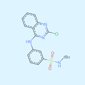 CC(C)(C)NS(=O)(=O)c1cccc(Nc2nc(Cl)nc3ccccc23)c1